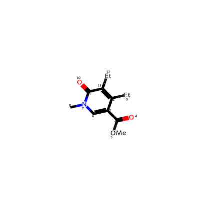 CCc1c(C(=O)OC)cn(C)c(=O)c1CC